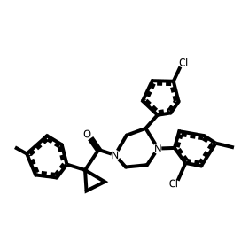 Cc1ccc(C2(C(=O)N3CCN(c4ccc(C)cc4Cl)C(c4ccc(Cl)cc4)C3)CC2)cc1